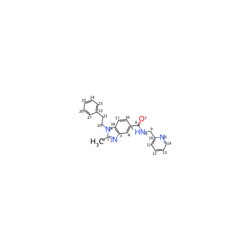 Cc1nc2cc(C(=O)NCc3ccccn3)ccc2n1CCc1ccccc1